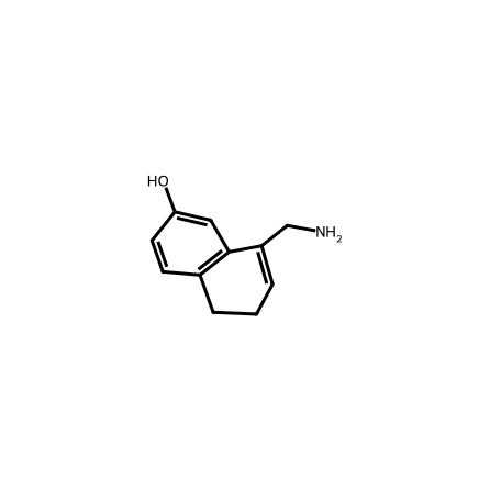 NCC1=CCCc2ccc(O)cc21